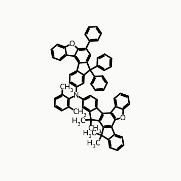 Cc1cccc(C)c1N(c1ccc2c(c1)C(C)(C)c1c3c(c4oc5ccccc5c4c1-2)-c1ccccc1C3(C)C)c1ccc2c(c1)C(c1ccccc1)(c1ccccc1)c1cc(-c3ccccc3)c3oc4ccccc4c3c1-2